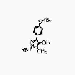 Cc1c(O)c(-c2ccc(SC(C)(C)C)cc2)nn1C(C)(C)C